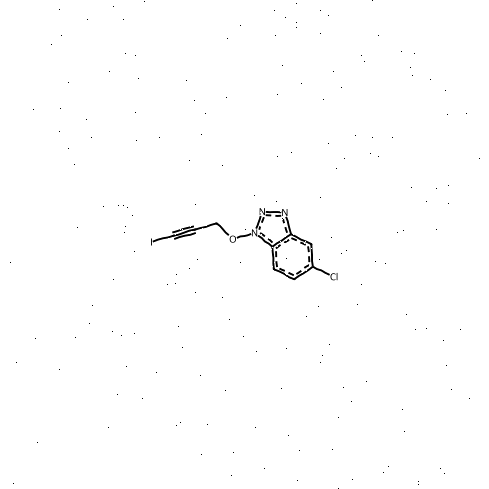 Clc1ccc2c(c1)nnn2OCC#CI